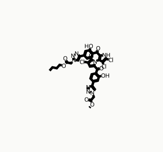 CCCCOC(=O)Cn1cc(-c2ccc(C(=O)c3[nH]c(Cl)c(Cl)c3-n3c(C(=O)c4ccc(-c5cn(CC(=O)OC)nn5)cc4O)cc(Cl)c3Cl)c(O)c2)nn1